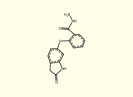 BNC(=O)c1ccccc1Sc1ccc2c(c1)NC(=O)C2